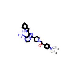 CN(C)c1ccc(C(=O)CN2CCC(c3nc(-c4cc5ccccc5[nH]4)c4c(N)nccn34)CC2)cc1